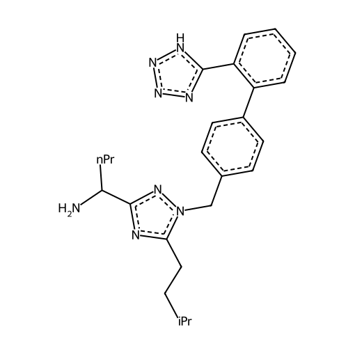 CCCC(N)c1nc(CCC(C)C)n(Cc2ccc(-c3ccccc3-c3nnn[nH]3)cc2)n1